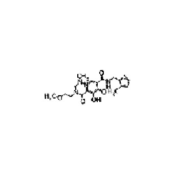 COCCN1CN(C)n2cc(C(=O)NCc3sccc3C)c(=O)c(O)c2C1=O